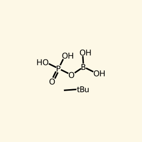 CC(C)(C)C.O=P(O)(O)OB(O)O